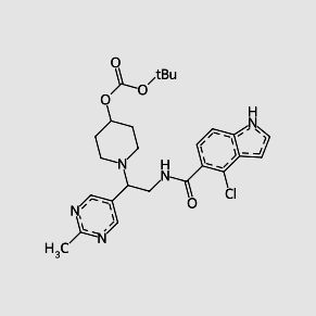 Cc1ncc(C(CNC(=O)c2ccc3[nH]ccc3c2Cl)N2CCC(OC(=O)OC(C)(C)C)CC2)cn1